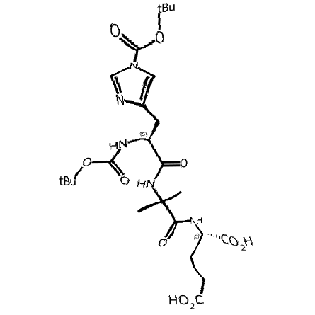 CC(C)(C)OC(=O)N[C@@H](Cc1cn(C(=O)OC(C)(C)C)cn1)C(=O)NC(C)(C)C(=O)N[C@@H](CCC(=O)O)C(=O)O